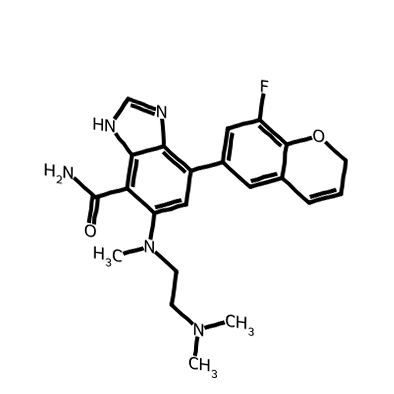 CN(C)CCN(C)c1cc(-c2cc(F)c3c(c2)C=CCO3)c2nc[nH]c2c1C(N)=O